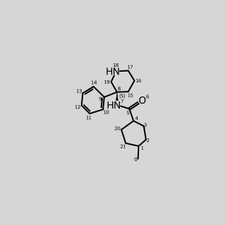 CC1CCC(C(=O)N[C@]2(c3ccccc3)CCCNC2)CC1